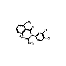 Cc1cccc(C)c1C(=O)N(C(N)=O)c1ccc(Cl)c(Cl)c1